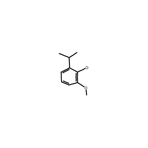 COc1cccc(C(C)C)c1[O]